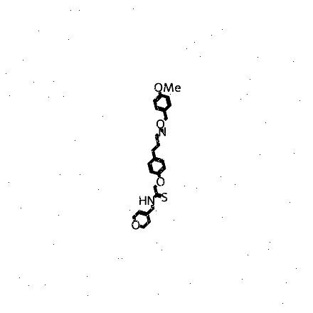 COc1ccc(CON=CCCc2ccc(OCC(=S)NCC3=CCOCC3)cc2)cc1